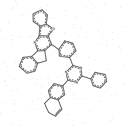 C1=Cc2cc(-c3nc(-c4ccccc4)nc(-c4cccc(-c5c6c(nc7c5oc5ccccc57)-c5ccccc5C6)c4)n3)ccc2CC1